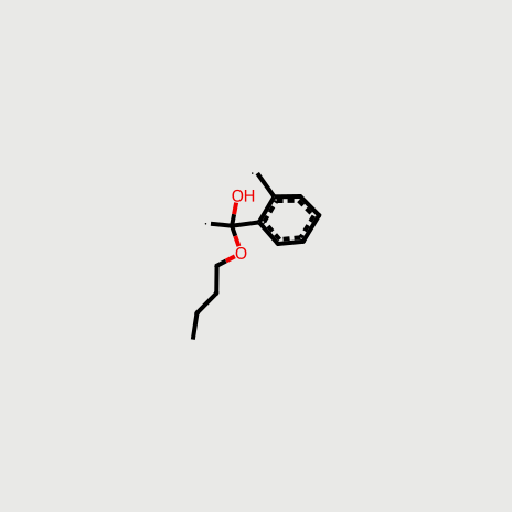 [CH2]c1ccccc1C([CH2])(O)OCCCC